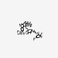 COc1ccc2ncc(CN)c(C(O)CCC3(CO)CCN(CCSc4cc(F)cc(F)c4F)CC3)c2c1